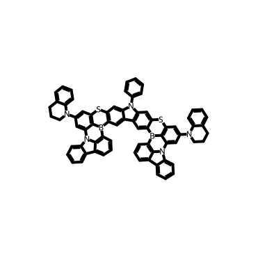 c1ccc(-n2c3cc4c(cc3c3cc5c(cc32)Sc2cc(N3CCCc6ccccc63)cc3c2B5c2cccc5c6ccccc6n-3c25)B2c3c(cc(N5CCCc6ccccc65)cc3-n3c5ccccc5c5cccc2c53)S4)cc1